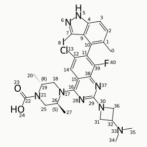 Cc1ccc2[nH]nc(I)c2c1-c1c(Cl)cc2c(N3C[C@@H](C)N(C(=O)O)C[C@@H]3C)nc(N3CC(N(C)C)C3)nc2c1F